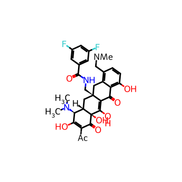 CNCc1ccc(O)c2c1C[C@@]1(CNC(=O)c3cc(F)cc(F)c3)C[C@H]3[C@H](N(C)C)C(O)=C(C(C)=O)C(=O)[C@@]3(O)C(O)=C1C2=O